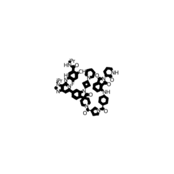 Cc1cc(F)c(Nc2nc(-c3ccc4c(c3)N([C@H]3C[C@@H](N5CCCCC5)C3)C(=O)C43CCN(C(=O)[C@@H]4CCN(C(=O)[C@H]5CC[C@H](Nc6cccc7c6C(=O)N(C6CCCNC6=O)C7=O)CC5)C4)CC3)cc3ncn(C(C)C)c23)cc1C(=O)NC(C)C